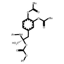 CC(C)N[C@@](Cc1ccc(OC(=O)C(C)(C)C)c(OC(=O)C(C)(C)C)c1)(OC(=O)OC(C)C)C(=O)O